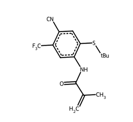 [C-]#[N+]c1cc(SC(C)(C)C)c(NC(=O)C(=C)C)cc1C(F)(F)F